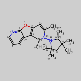 CB1c2c(oc3ncccc23)C=C(C)N1N1[C@@H](C)C(C)(C)CC1(C)C